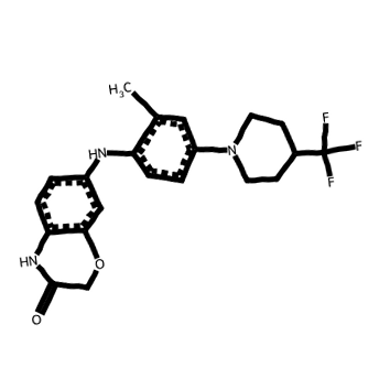 Cc1cc(N2CCC(C(F)(F)F)CC2)ccc1Nc1ccc2c(c1)OCC(=O)N2